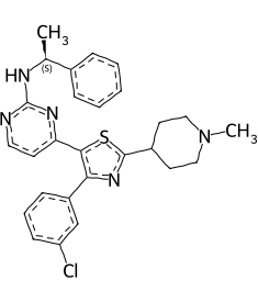 C[C@H](Nc1nccc(-c2sc(C3CCN(C)CC3)nc2-c2cccc(Cl)c2)n1)c1ccccc1